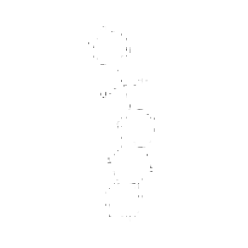 O=S(=O)(c1ccccc1)c1ccc2c(c1)Sc1ccccc1S2